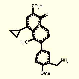 COc1ccc(-c2ccn3c(=O)c(C(=O)O)cc(C4CC4)c3c2C)cc1CN